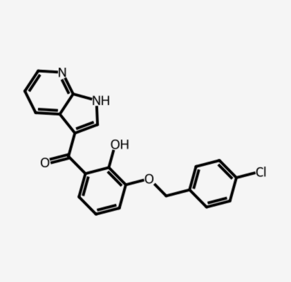 O=C(c1cccc(OCc2ccc(Cl)cc2)c1O)c1c[nH]c2ncccc12